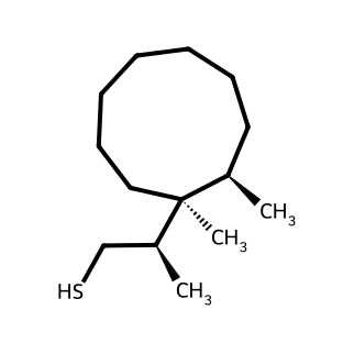 C[C@@H]1CCCCCCC[C@]1(C)[C@@H](C)CS